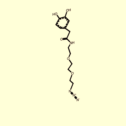 [N-]=[N+]=NCCOCCOCCNC(=O)Cc1ccc(O)c(O)c1